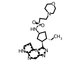 CC[C@H]1C[C@H](NS(=O)(=O)CCN2CCOCC2)C[C@@H]1c1nnc2cnc3[nH]ccc3n12